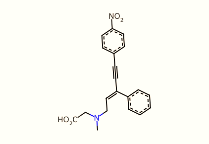 CN(CC=C(C#Cc1ccc([N+](=O)[O-])cc1)c1ccccc1)CC(=O)O